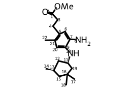 COC(=O)CCc1cc(N)c(N[C@@H]2C[C@H](C)CC(C)(C)C2)cc1C